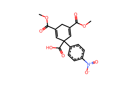 COC(=O)C1=CC(C(=O)O)(c2ccc([N+](=O)[O-])cc2)C=C(C(=O)OC)C1